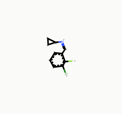 Fc1c(Cl)cccc1/C=N\C1CC1